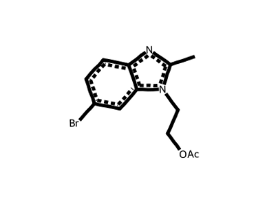 CC(=O)OCCn1c(C)nc2ccc(Br)cc21